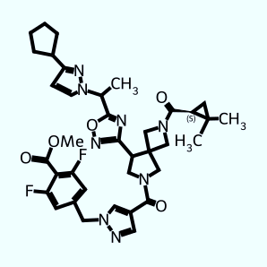 COC(=O)c1c(F)cc(Cn2cc(C(=O)N3CC(c4noc(C(C)n5ccc(C6CCCC6)n5)n4)C4(C3)CN(C(=O)[C@H]3CC3(C)C)C4)cn2)cc1F